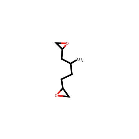 [CH2]C(CCC1CO1)CC1CO1